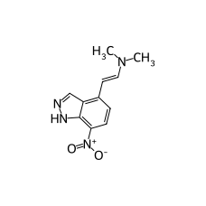 CN(C)C=Cc1ccc([N+](=O)[O-])c2[nH]ncc12